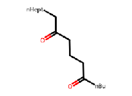 CCCCCCCCC(=O)CCCC(=O)CCCC